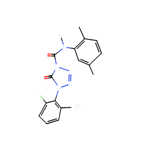 CCN(C(=O)n1nnn(-c2c(F)cccc2OC)c1=O)c1cc(C)ccc1C